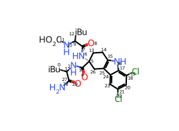 CCC(C)C(NC(=O)[C@@]1(NC(=O)C(NC(=O)O)C(C)CC)CCc2[nH]c3c(Cl)cc(Cl)cc3c2C1)C(N)=O